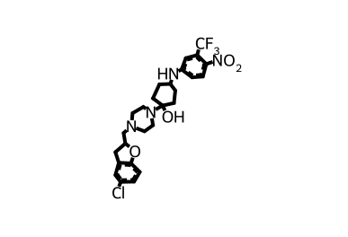 O=[N+]([O-])c1ccc(NC2CCC(O)(N3CCN(CC4Cc5cc(Cl)ccc5O4)CC3)CC2)cc1C(F)(F)F